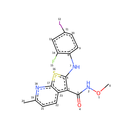 CONC(=O)c1c(Nc2ccc(I)cc2F)sc2nc(C)ccc12